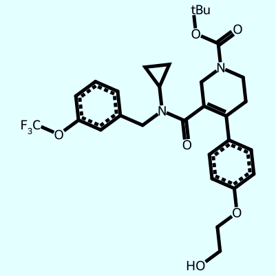 CC(C)(C)OC(=O)N1CCC(c2ccc(OCCO)cc2)=C(C(=O)N(Cc2cccc(OC(F)(F)F)c2)C2CC2)C1